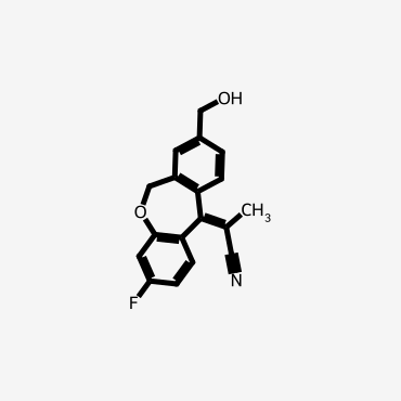 C/C(C#N)=C1\c2ccc(CO)cc2COc2cc(F)ccc21